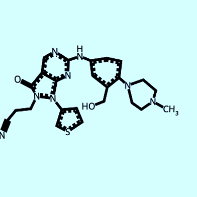 CN1CCN(c2ccc(Nc3ncc4c(=O)n(CCC#N)n(-c5ccsc5)c4n3)cc2CO)CC1